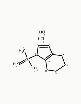 Cl.Cl.[CH3][Zr]([CH3])(=[SiH2])[CH]1C=CC2=C1CCCC2